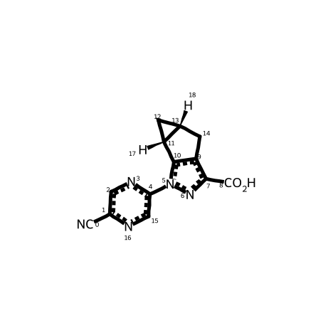 N#Cc1cnc(-n2nc(C(=O)O)c3c2[C@@H]2C[C@@H]2C3)cn1